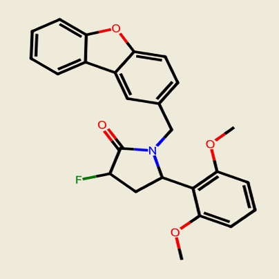 COc1cccc(OC)c1C1CC(F)C(=O)N1Cc1ccc2oc3ccccc3c2c1